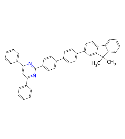 CC1(C)c2ccccc2-c2ccc(-c3ccc(-c4ccc(-c5nc(-c6ccccc6)cc(-c6ccccc6)n5)cc4)cc3)cc21